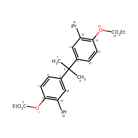 CCOC(=O)Oc1ccc(C(C)(C)c2ccc(OC(=O)OCC)c(C(C)C)c2)cc1C(C)C